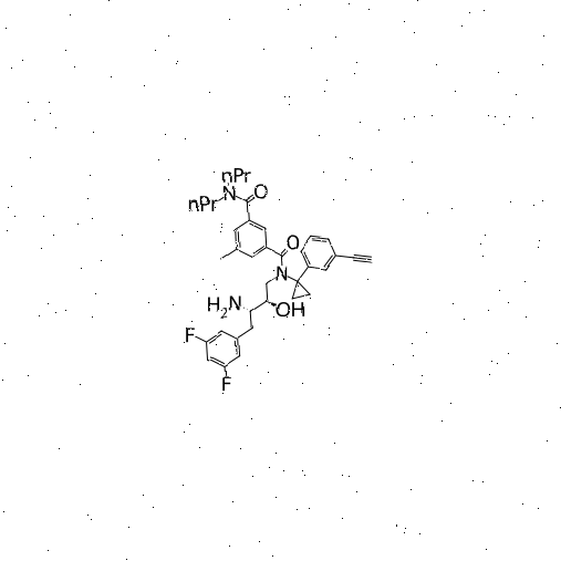 C#Cc1cccc(C2(N(C[C@@H](O)[C@@H](N)Cc3cc(F)cc(F)c3)C(=O)c3cc(C)cc(C(=O)N(CCC)CCC)c3)CC2)c1